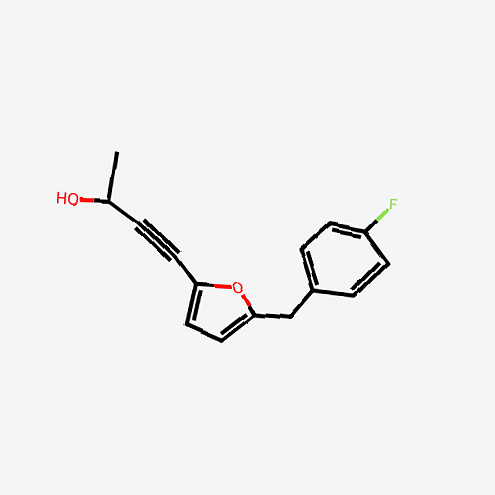 CC(O)C#Cc1ccc(Cc2ccc(F)cc2)o1